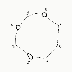 C1COCOCOC1